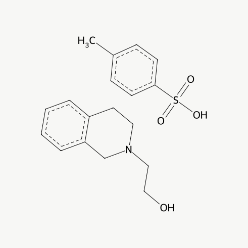 Cc1ccc(S(=O)(=O)O)cc1.OCCN1CCc2ccccc2C1